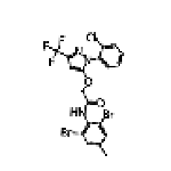 Cc1cc(Br)c(NC(=O)COc2cc(C(F)(F)F)nn2-c2ccccc2Cl)c(Br)c1